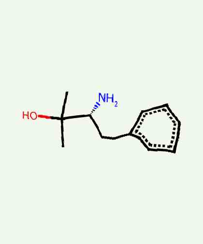 CC(C)(O)[C@H](N)Cc1ccccc1